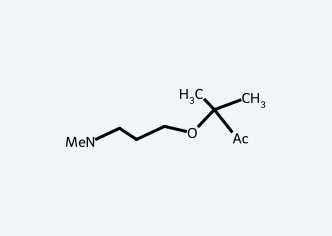 CNCCCOC(C)(C)C(C)=O